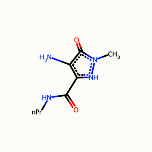 CCCNC(=O)c1[nH]n(C)c(=O)c1N